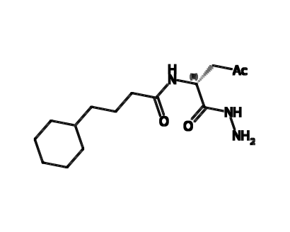 CC(=O)C[C@@H](NC(=O)CCCC1CCCCC1)C(=O)NN